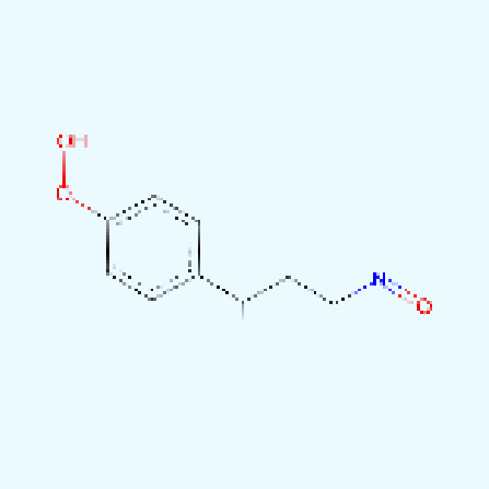 CC(CCN=O)c1ccc(OO)cc1